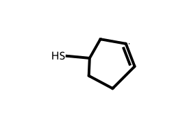 SC1C[C]=CCC1